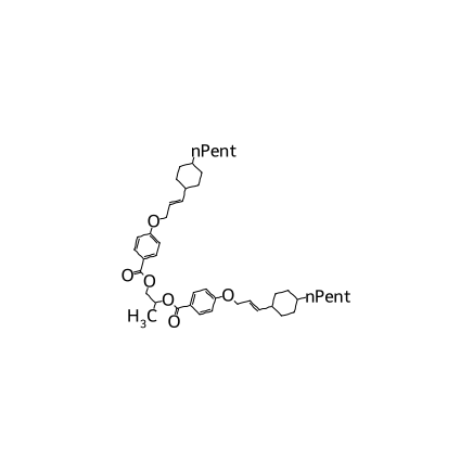 CCCCCC1CCC(C=CCOc2ccc(C(=O)OCC(C)OC(=O)c3ccc(OCC=CC4CCC(CCCCC)CC4)cc3)cc2)CC1